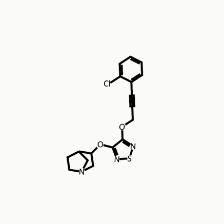 Clc1ccccc1C#CCOc1nsnc1OC1CN2CCC1C2